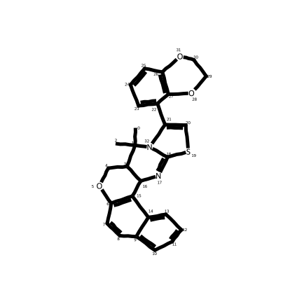 CC1(C)C2COc3ccc4ccccc4c3C2N=C2SC=C(c3cccc4c3OCCO4)N21